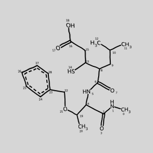 CNC(=O)C(NC(=O)C(CC(C)C)C(S)CC(=O)O)C(C)OCc1ccccc1